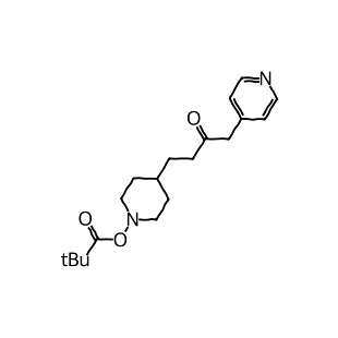 CC(C)(C)C(=O)ON1CCC(CCC(=O)Cc2ccncc2)CC1